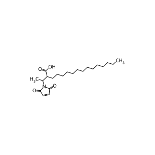 CCCCCCCCCCCCCCC(C(=O)O)C(C)N1C(=O)C=CC1=O